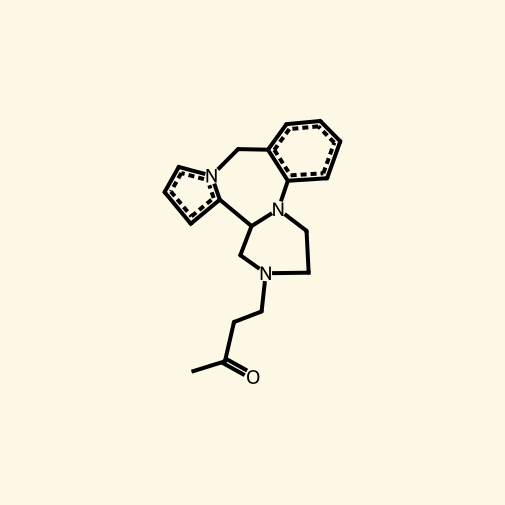 CC(=O)CCN1CCN2c3ccccc3Cn3cccc3C2C1